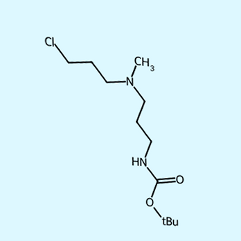 CN(CCCCl)CCCNC(=O)OC(C)(C)C